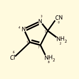 N#CC1(N)N=NC(Cl)=C1N